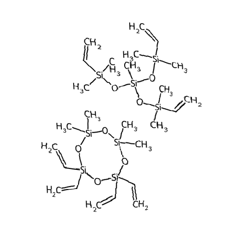 C=C[Si](C)(C)O[Si](C)(O[Si](C)(C)C=C)O[Si](C)(C)C=C.C=C[Si]1(C=C)O[Si](C)(C)O[Si](C)(C)O[Si](C=C)(C=C)O1